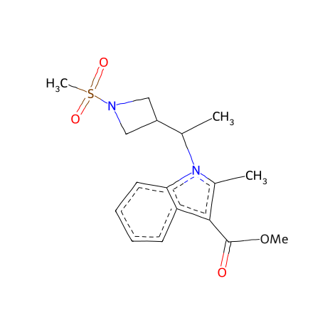 COC(=O)c1c(C)n(C(C)C2CN(S(C)(=O)=O)C2)c2ccccc12